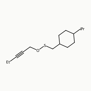 CCC#CCOSCC1CCC(C(C)C)CC1